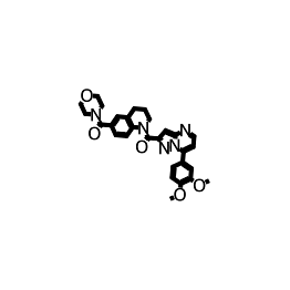 COc1ccc(-c2ccnc3cc(C(=O)N4CCCc5cc(C(=O)N6CCOCC6)ccc54)nn23)cc1OC